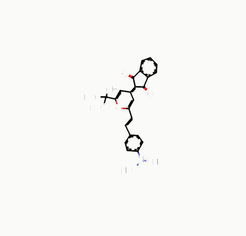 CN(C)c1ccc(/C=C/C2=CC(=C3C(=O)c4ccccc4C3=O)C=C(C(C)(C)C)O2)cc1